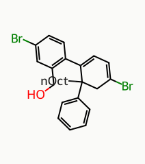 CCCCCCCCC1(c2ccccc2)CC(Br)=CC=C1c1ccc(Br)cc1CO